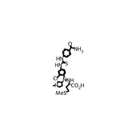 CSCC[C@H](NN(c1ccc(NC(=S)Nc2ccc(C(N)=O)cc2)cc1Cl)C1CCN(C)C1)C(=O)O